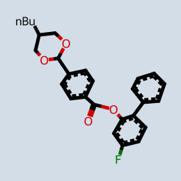 CCCCC1COC(c2ccc(C(=O)Oc3cc(F)ccc3-c3ccccc3)cc2)OC1